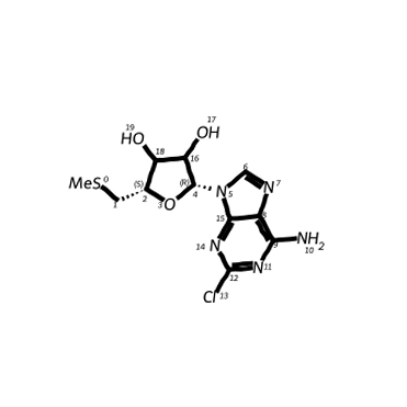 CSC[C@H]1O[C@@H](n2cnc3c(N)nc(Cl)nc32)C(O)C1O